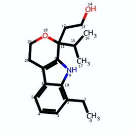 CCc1cccc2c3c([nH]c12)C(CCO)(C(C)C)OCC3